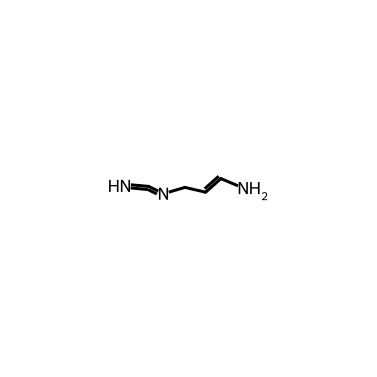 N=C=NCC=CN